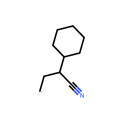 [CH2]CC(C#N)C1CCCCC1